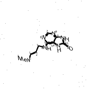 CNCCCNc1ncnc2[nH]c(=O)[nH]c12